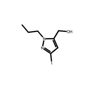 CCCn1nc(I)cc1CO